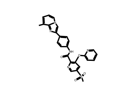 Cc1cccn2cc(-c3ccc(NC(=O)c4ncc(S(C)(=O)=O)cc4Oc4ccccn4)cc3)nc12